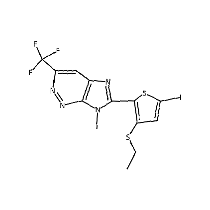 CCSc1cc(I)sc1-c1nc2cc(C(F)(F)F)nnc2n1C